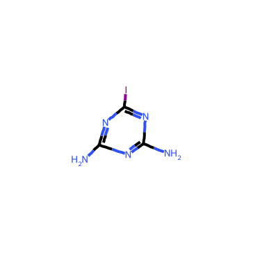 Nc1nc(N)nc(I)n1